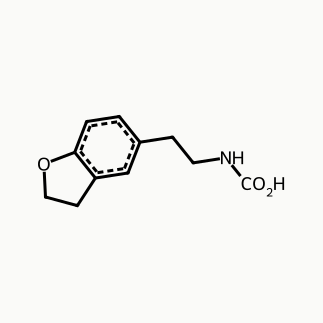 O=C(O)NCCc1ccc2c(c1)CCO2